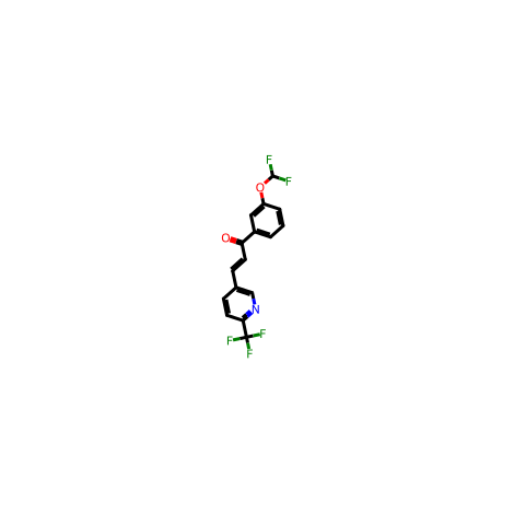 O=C(C=Cc1ccc(C(F)(F)F)nc1)c1cccc(OC(F)F)c1